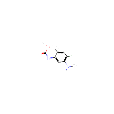 CCN(CC)c1cc(NC(=O)OC(C)(C)C)c([N+](=O)[O-])cc1Cl